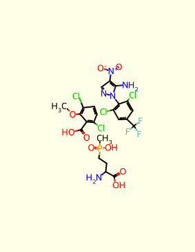 COc1c(Cl)ccc(Cl)c1C(=O)O.CP(=O)(O)CCC(N)C(=O)O.Nc1c([N+](=O)[O-])cnn1-c1c(Cl)cc(C(F)(F)F)cc1Cl